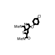 CNC(=O)c1cc2c(Oc3ccc(Cl)cc3)cnc(NC)c2s1